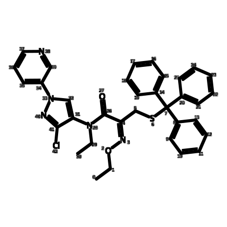 CCON=C(CSC(c1ccccc1)(c1ccccc1)c1ccccc1)C(=O)N(CC)c1cn(-c2cccnc2)nc1Cl